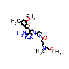 COCCN(C)C/C=C/C(=O)N1CCC(n2cc(-c3cc4cc(C)cc(OC)c4s3)c3c(N)ncnc32)C1